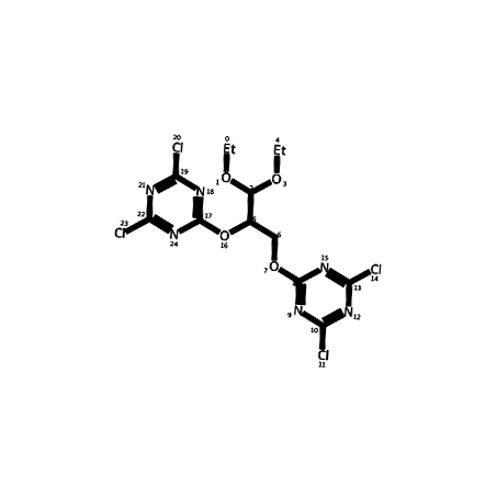 CCOC(OCC)C(COc1nc(Cl)nc(Cl)n1)Oc1nc(Cl)nc(Cl)n1